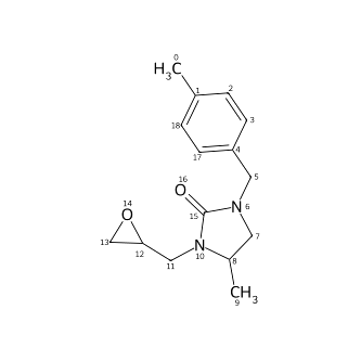 Cc1ccc(CN2CC(C)N(CC3CO3)C2=O)cc1